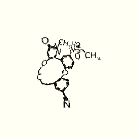 CCS(=O)(=O)Nc1ccc2c(c1)-c1nn(C)c(=O)cc1OCCCCc1cc(C#N)ccc1O2